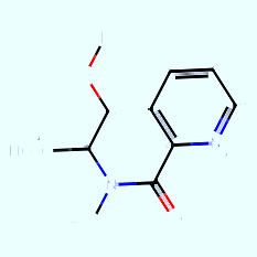 CCOCC(C(=O)O)N(C)C(=O)c1ccccn1